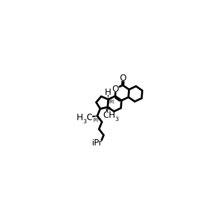 CC(C)CCC[C@@H](C)C1CC[C@H]2C3=C(CC[C@]12C)C1CCCCC1C(=O)O3